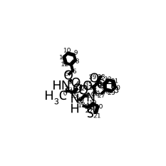 C[C@H](NC(=O)OCc1ccccc1)C(=O)N[C@@H](Cc1cccs1)C(=O)N[C@@H](Cc1ccccc1)C(=O)[C@@]1(C)CO1